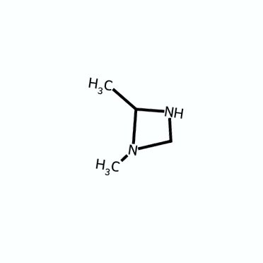 CC1NCN1C